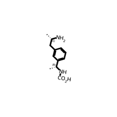 C[C@H](N)Cc1cccc([C@@H](C)NC(=O)O)c1